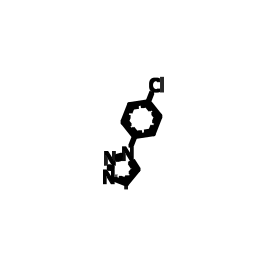 Clc1ccc(-n2c[c]nn2)cc1